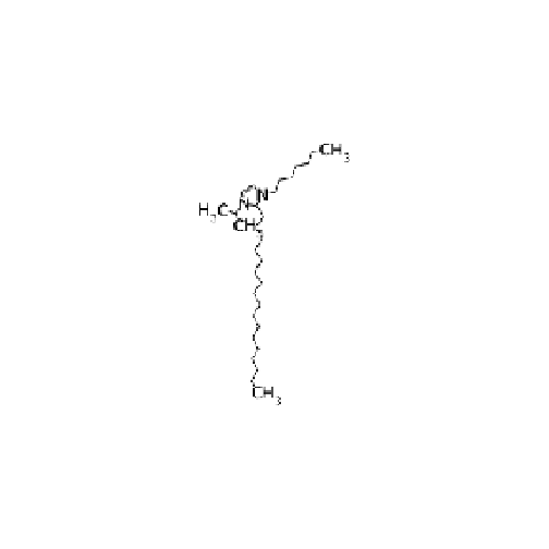 CCCCCCCCCCCCCCCCCC1N(CCCCCCC)C=CN1C(C)C